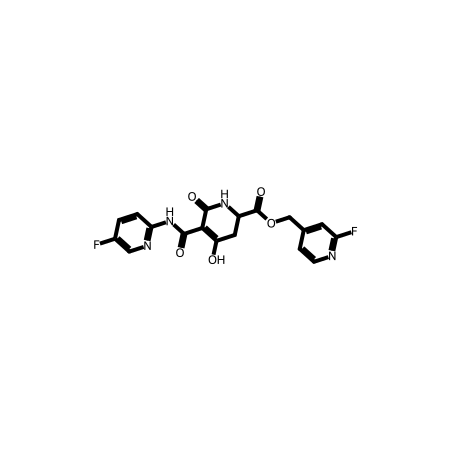 O=C(Nc1ccc(F)cn1)C1=C(O)CC(C(=O)OCc2ccnc(F)c2)NC1=O